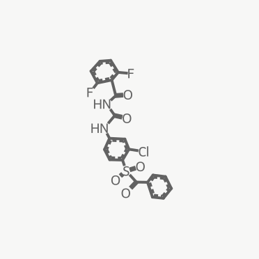 O=C(NC(=O)c1c(F)cccc1F)Nc1ccc(S(=O)(=O)C(=O)c2ccccc2)c(Cl)c1